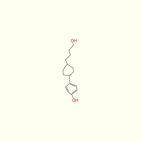 OCCCCC1CCC(c2ccc(O)cc2)CC1